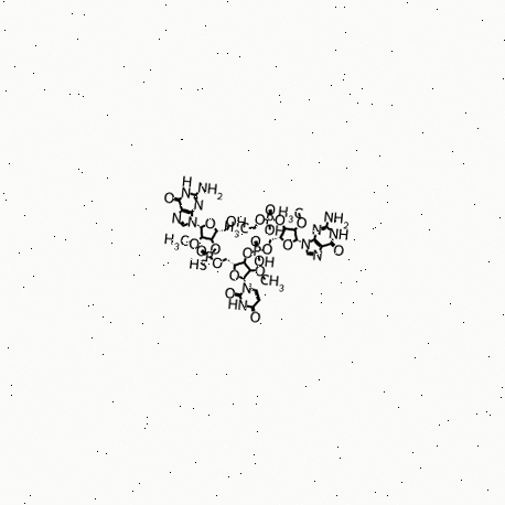 CCOP(=O)(O)OC1C(OC)[C@H](n2cnc3c(=O)[nH]c(N)nc32)O[C@@H]1COP(=O)(O)OC1C(OC)[C@H](n2ccc(=O)[nH]c2=O)O[C@@H]1CO[P@](=O)(S)OC1C(OC)[C@H](n2cnc3c(=O)[nH]c(N)nc32)O[C@@H]1CO